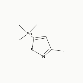 Cc1c[c]([Sn]([CH3])([CH3])[CH3])sn1